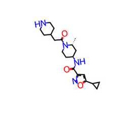 C[C@@H]1C[C@@H](NC(=O)c2cc(C3CC3)on2)CCN1C(=O)CC1CCNCC1